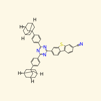 N#Cc1ccc2c(c1)sc1cc(-c3nc(-c4ccc(C56C[C@H]7C[C@@H](C5)C[C@@H](C6)C7)cc4)nc(-c4ccc(C56C[C@H]7C[C@H](C5)C[C@@H](C6)C7)cc4)n3)ccc12